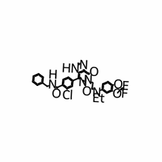 CCN(C(=O)Cn1nc(-c2ccc(C(=O)NCc3ccccc3)c(Cl)c2)c2[nH]cnc2c1=O)c1ccc2c(c1)OC(F)(F)O2